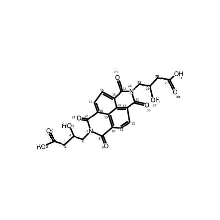 O=C(O)CC(O)CN1C(=O)c2ccc3c4c(ccc(c24)C1=O)C(=O)N(CC(O)CC(=O)O)C3=O